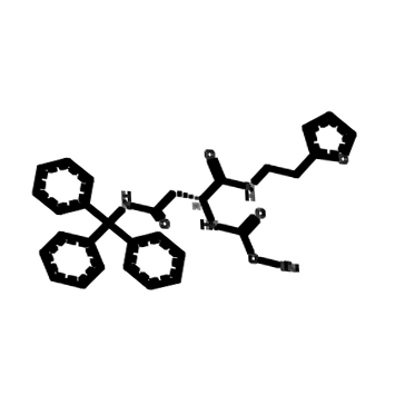 CC(C)(C)OC(=O)N[C@H](CC(=O)NC(c1ccccc1)(c1ccccc1)c1ccccc1)C(=O)NCCc1ccco1